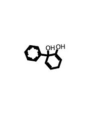 OC1=CCC=CC1(O)c1ccccc1